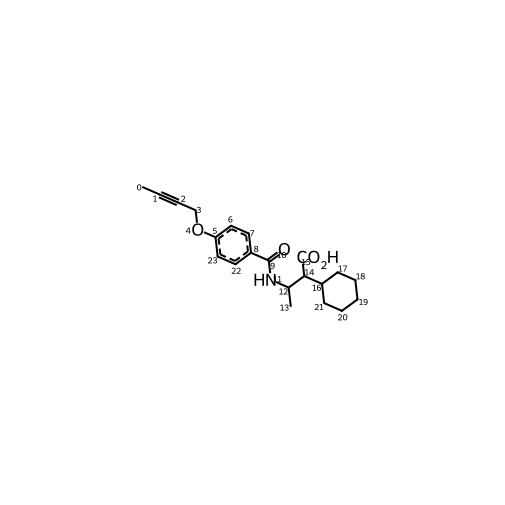 CC#CCOc1ccc(C(=O)NC(C)C(C(=O)O)C2CCCCC2)cc1